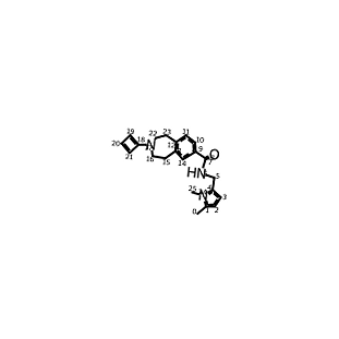 Cc1ccc(CNC(=O)c2ccc3c(c2)CCN(C2=CC=C2)CC3)n1C